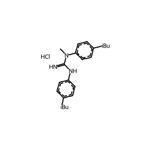 CCC(C)c1ccc(NC(=N)N(C)c2ccc(C(C)CC)cc2)cc1.Cl